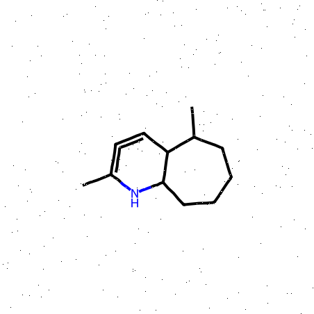 CC1=C=CC2C(C)CCCCC2N1